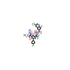 CC1(C(N)=O)COc2c1cc(C(O)(CNC(=O)c1cc(F)c3ncc(Cl)cc3c1)C(F)(F)F)nc2-c1ccc(F)cc1